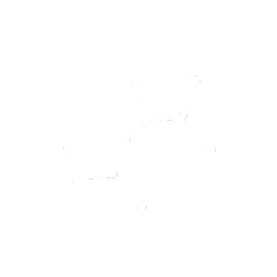 O=C1OCCO1.O=c1occo1